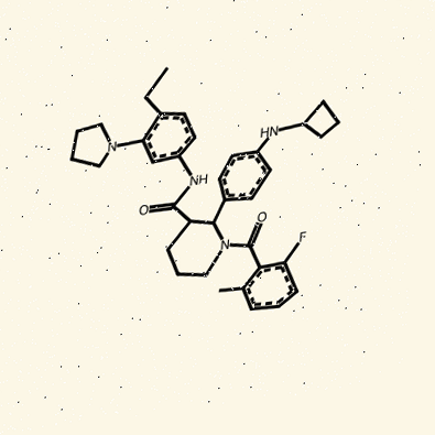 CCc1ccc(NC(=O)C2CCCN(C(=O)c3c(C)cccc3F)C2c2ccc(NC3CCC3)cc2)cc1N1CCCC1